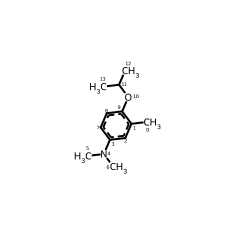 Cc1cc(N(C)C)ccc1OC(C)C